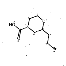 O=C(O)N1CCOC(CCBr)C1